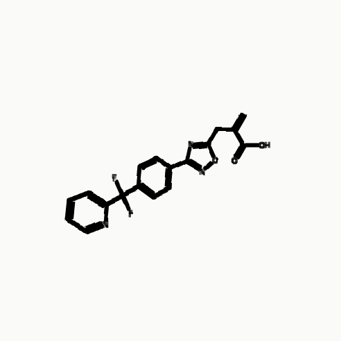 C=C(Cc1nc(-c2ccc(C(F)(F)c3ccccn3)cc2)no1)C(=O)O